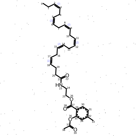 CC/C=C\C/C=C\C/C=C\C/C=C\C/C=C\C/C=C\CCC(=O)NCCOC(=O)c1ccc(C)cc1OC(C)=O